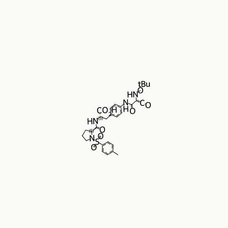 Cc1ccc(S(=O)(=O)N2CCC[C@H]2C(=O)N[C@@H](Cc2ccc(NC(=O)C(=C=O)NOC(C)(C)C)cc2)C(=O)O)cc1